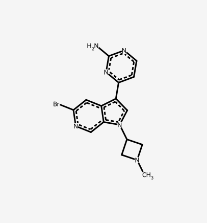 CN1CC(n2cc(-c3ccnc(N)n3)c3cc(Br)ncc32)C1